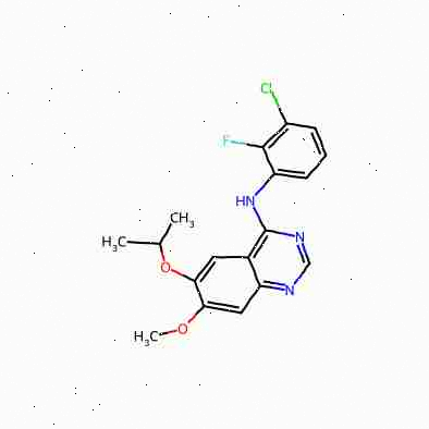 COc1cc2ncnc(Nc3cccc(Cl)c3F)c2cc1OC(C)C